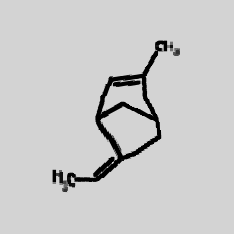 CC=C1CC2CC1C=C2C